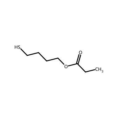 CCC(=O)OCCCCS